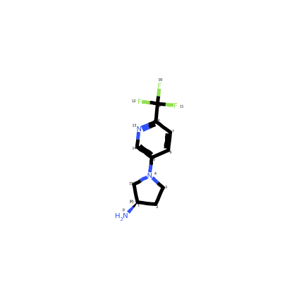 N[C@@H]1CCN(c2ccc(C(F)(F)F)nc2)C1